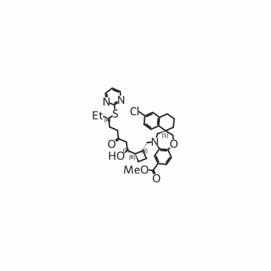 CC[C@H](CCC(=O)C[C@H](O)[C@@H]1CC[C@H]1CN1C[C@@]2(CCCc3cc(Cl)ccc32)COc2ccc(C(=O)OC)cc21)Sc1ncccn1